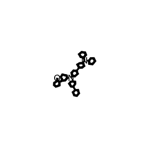 c1ccc(-c2ccc(N(c3ccc(-c4ccc(N(c5ccccc5)c5ccccc5)cc4)cc3)c3ccc4oc5ccccc5c4c3)cc2)cc1